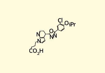 CC(C)Oc1ccc(-c2nnc(C3CC=Nc4c3ccn4CCCC(=O)O)o2)cc1Cl